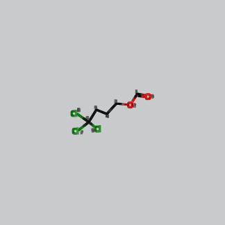 O=[C]OCCCC(Cl)(Cl)Cl